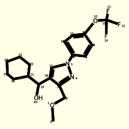 COCc1nn(-c2ccc(OC(F)(F)F)cc2)cc1C(O)C1CCCCC1